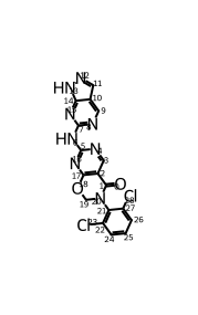 O=C1c2cnc(Nc3ncc4cn[nH]c4n3)nc2OCN1c1c(Cl)cccc1Cl